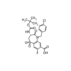 CC(C)(C)OC(=O)N[C@H]1CS(=O)(=O)c2cc(F)c(C(=O)O)cc2N(Cc2ccc(Cl)cc2)C1=O